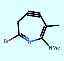 CNC1=C(C)C#CCC(Br)=N1